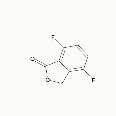 O=C1OCc2c(F)ccc(F)c21